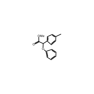 COC(=O)C(Oc1ccccc1)c1ccc(C)cc1